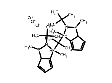 CP1C2C=CC=C2[PH](C)(C(C)(C)[PH]2(C)C3=CC=CC3P(C)N2C(C)(C)C)N1C(C)(C)C.[Cl-].[Cl-].[Zr+2]